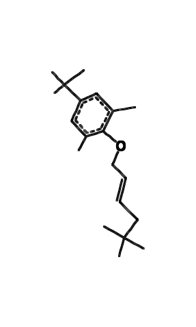 Cc1cc(C(C)(C)C)cc(C)c1OC/C=C/CC(C)(C)C